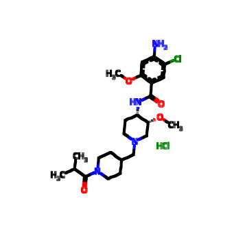 COc1cc(N)c(Cl)cc1C(=O)N[C@H]1CCN(CC2CCN(C(=O)C(C)C)CC2)C[C@H]1OC.Cl